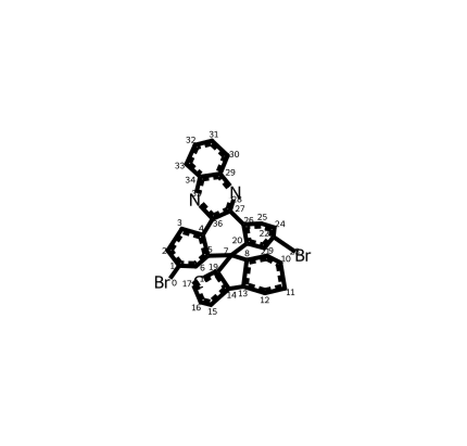 Brc1ccc2c(c1)C1(c3ccccc3-c3ccccc31)c1cc(Br)ccc1-c1nc3ccccc3nc1-2